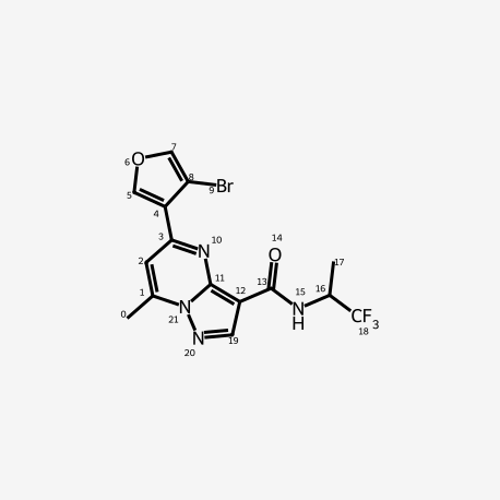 Cc1cc(-c2cocc2Br)nc2c(C(=O)NC(C)C(F)(F)F)cnn12